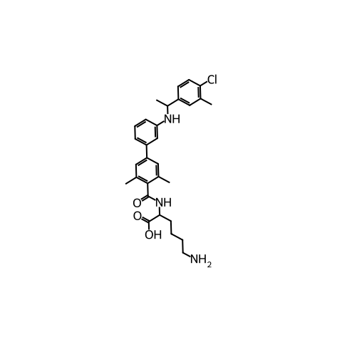 Cc1cc(C(C)Nc2cccc(-c3cc(C)c(C(=O)NC(CCCCN)C(=O)O)c(C)c3)c2)ccc1Cl